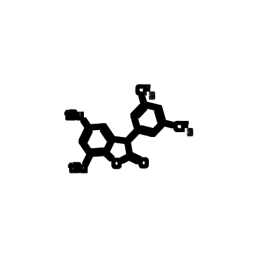 CC(C)(C)c1cc2c(c(C(C)(C)C)c1)OC(=O)C2c1cc(C(F)(F)F)cc(C(F)(F)F)c1